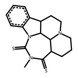 CN1C(=S)C2CCCN3CCC4c5ccccc5N(C1=S)C4C23